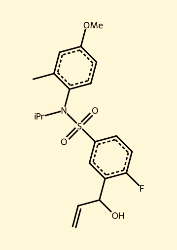 C=CC(O)c1cc(S(=O)(=O)N(c2ccc(OC)cc2C)C(C)C)ccc1F